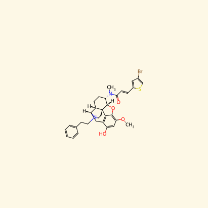 COc1cc(O)c2c3c1O[C@H]1[C@@H](N(C)C(=O)/C=C/c4cc(Br)cs4)CC[C@H]4[C@@H](C2)N(CCc2ccccc2)CC[C@@]341